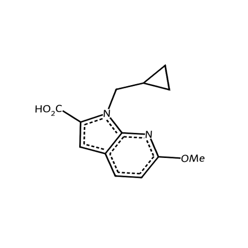 COc1ccc2cc(C(=O)O)n(CC3CC3)c2n1